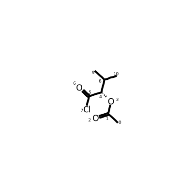 CC(=O)O[C@H](C(=O)Cl)C(C)C